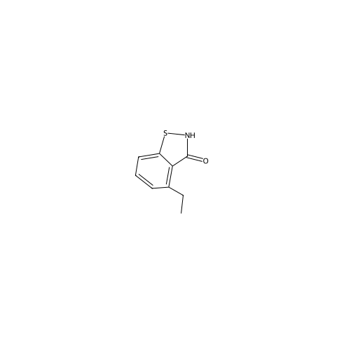 CCc1cccc2s[nH]c(=O)c12